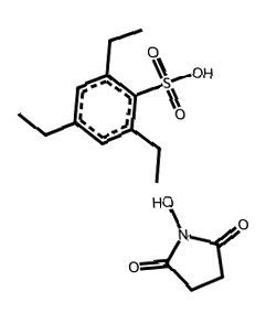 CCc1cc(CC)c(S(=O)(=O)O)c(CC)c1.O=C1CCC(=O)N1O